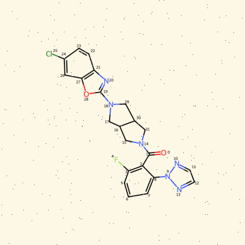 O=C(c1c(F)cccc1-n1nccn1)N1CC2CN(c3nc4ccc(Cl)cc4o3)CC2C1